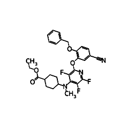 CCOC(=O)C1CCC(N(C)c2c(F)c(F)nc(Oc3cc(C#N)ccc3OCc3ccccc3)c2F)CC1